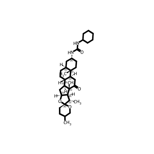 CC1CC[C@@]2(OC1)O[C@H]1C[C@H]3[C@@H]4CC[C@H]5C[C@H](NC(=O)NC6CCCCC6)CC[C@]5(C)[C@H]4CC(=O)[C@]3(C)[C@H]1[C@@H]2C